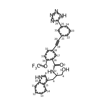 O=C(NC(CO)Cc1c[nH]c2ccccc12)c1cc(C#Cc2cccc(-c3nnn[nH]3)c2)ccc1OC(F)(F)F